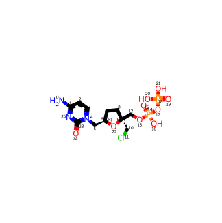 Nc1ccn(C[C@H]2CC[C@@](CCl)(COP(=O)(O)OP(=O)(O)O)O2)c(=O)n1